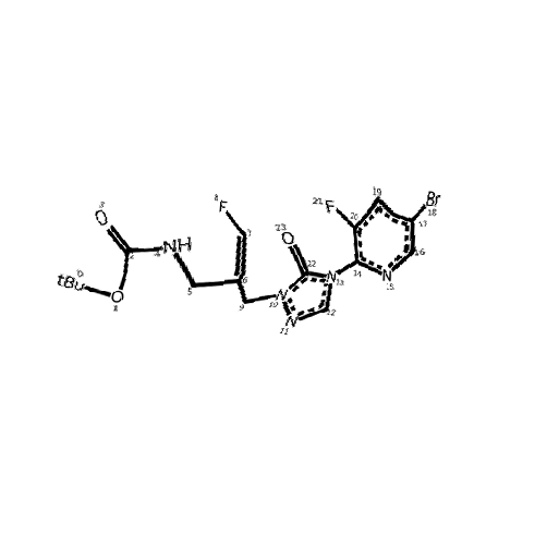 CC(C)(C)OC(=O)NCC(=CF)Cn1ncn(-c2ncc(Br)cc2F)c1=O